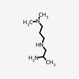 CC(N)CNCCCN(C)C